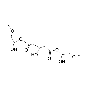 COCC(O)OC(=O)CC(O)CC(=O)OC(O)COC